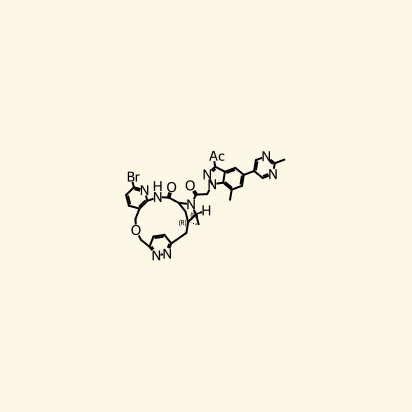 CC(=O)c1nn(CC(=O)N2C3C[C@@]4(Cc5ccc(nn5)COCc5ccc(Br)nc5NC3=O)C[C@@H]24)c2c(C)cc(-c3cnc(C)nc3)cc12